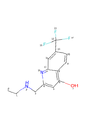 CCNCc1cc(O)c2ccc(C(F)(F)F)cc2n1